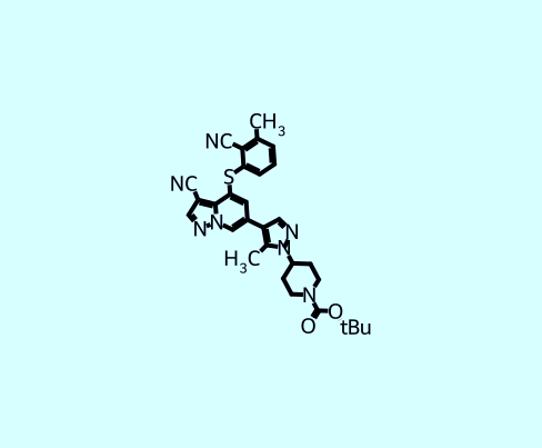 Cc1cccc(Sc2cc(-c3cnn(C4CCN(C(=O)OC(C)(C)C)CC4)c3C)cn3ncc(C#N)c23)c1C#N